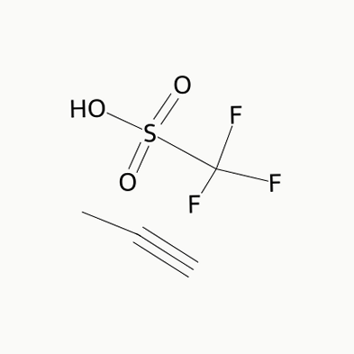 C#CC.O=S(=O)(O)C(F)(F)F